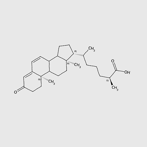 CC(CCC[C@H](C)C(=O)O)[C@H]1CCC2C3C=CC4=CC(=O)CC[C@]4(C)C3CC[C@@]21C